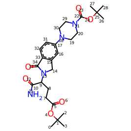 CC(C)(C)OC(=O)CCC(C(N)=O)N1Cc2cc(N3CCN(C(=O)OC(C)(C)C)CC3)ccc2C1=O